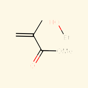 C=C(C)C(=O)OC.CCO